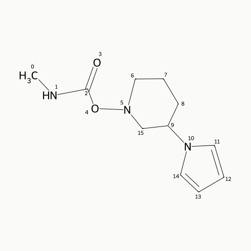 CNC(=O)ON1CCCC(n2cccc2)C1